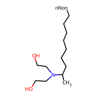 CCCCCCCCCCCCCCCCC(C)N(CCO)CCO